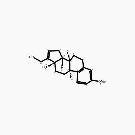 COc1ccc2c(c1)CC[C@@H]1[C@@H]2CC[C@]2(C)C(CO)=CC[C@H]12